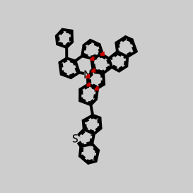 c1ccc(-c2ccccc2-c2c(-c3ccccc3)cccc2N(c2ccc(-c3ccc4c(c3)sc3ccccc34)cc2)c2ccc3c(ccc4ccccc43)c2)cc1